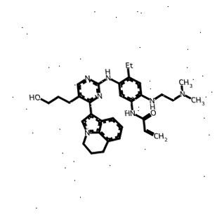 C=CC(=O)Nc1cc(Nc2ncc(CCCO)c(-c3cn4c5c(cccc35)CCC4)n2)c(CC)cc1NCCN(C)C